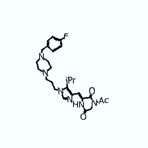 CC(=O)N1CC(=O)N/C(=C\c2ncn(CCCN3CCN(Cc4ccc(F)cc4)CC3)c2C(C)C)C1=O